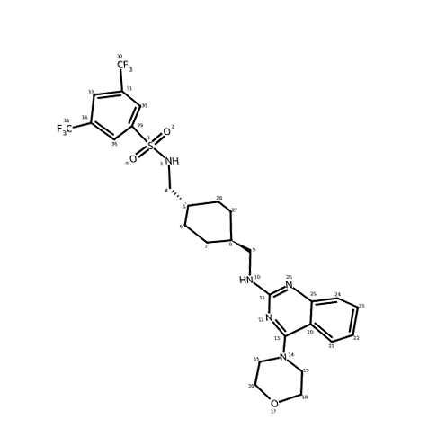 O=S(=O)(NC[C@H]1CC[C@H](CNc2nc(N3CCOCC3)c3ccccc3n2)CC1)c1cc(C(F)(F)F)cc(C(F)(F)F)c1